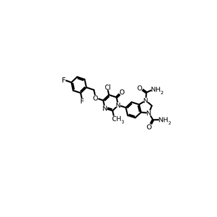 Cc1nc(OCc2ccc(F)cc2F)c(Cl)c(=O)n1-c1ccc2c(c1)N(C(N)=O)CN2C(N)=O